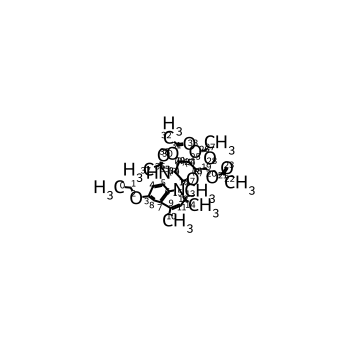 CCOc1ccc2c(c1)C(C)=CC(C)(C)N2C1O[C@H](COC(C)=O)[C@@H](OC(C)=O)[C@H](OC(C)=O)[C@H]1NC(C)=O